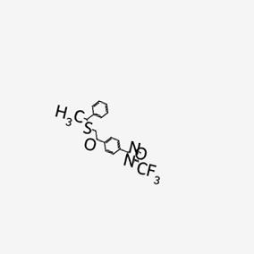 CC(SCC(=O)c1ccc(-c2noc(C(F)(F)F)n2)cc1)c1ccccc1